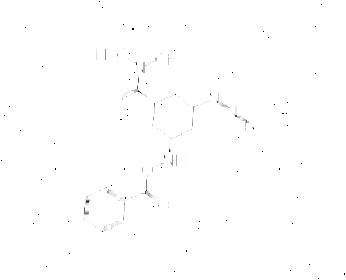 CN(C)C(=O)[C@H]1CC(N=[N+]=[N-])C[C@@H](NOC(=O)c2ccccc2)C1